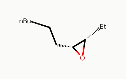 CCCCCC[C@H]1O[C@H]1CC